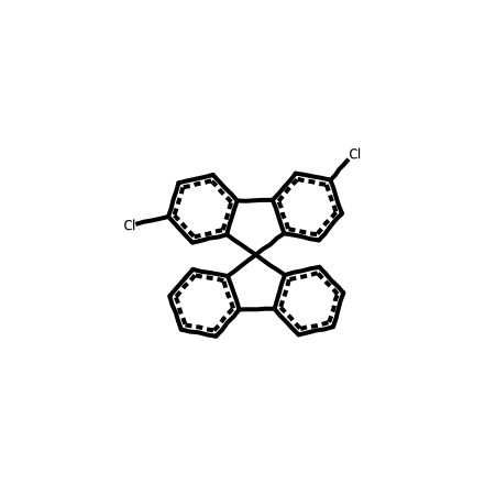 Clc1ccc2c(c1)-c1ccc(Cl)cc1C21c2ccccc2-c2ccccc21